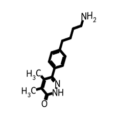 Cc1c(-c2ccc(CCCCN)cc2)n[nH]c(=O)c1C